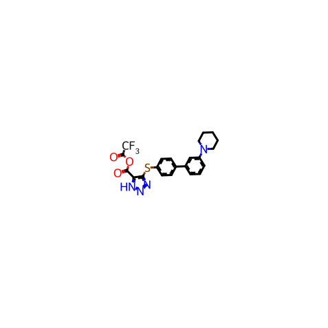 O=C(OC(=O)C(F)(F)F)c1[nH]nnc1Sc1ccc(-c2cccc(N3CCCCC3)c2)cc1